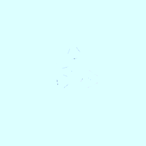 CS(=O)(=O)N(C(=O)Cn1c(-c2ccccc2)c(C2CCCCC2)c2ccc(C(=O)O)cc21)S(C)(=O)=O